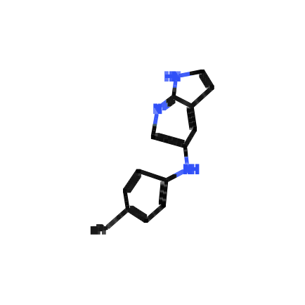 CCCc1ccc(Nc2cnc3[nH]ccc3c2)cc1